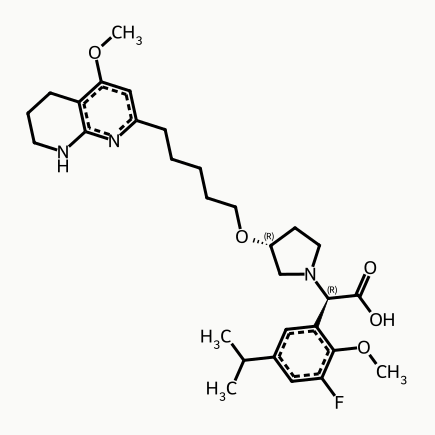 COc1cc(CCCCCO[C@@H]2CCN([C@@H](C(=O)O)c3cc(C(C)C)cc(F)c3OC)C2)nc2c1CCCN2